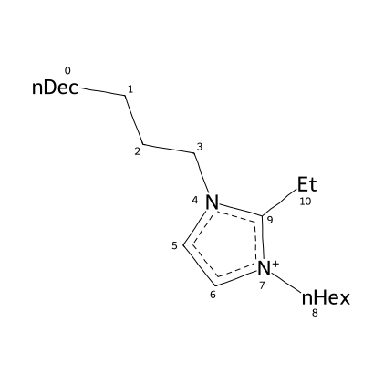 CCCCCCCCCCCCCn1cc[n+](CCCCCC)c1CC